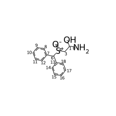 NC(O)C[S+]([O-])C(c1ccccc1)c1ccccc1